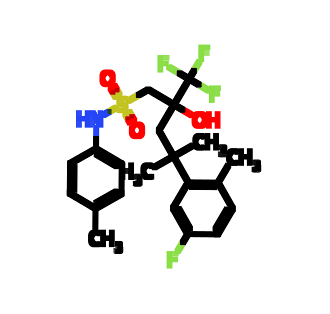 Cc1ccc(NS(=O)(=O)CC(O)(CC(C)(C)c2cc(F)ccc2C)C(F)(F)F)cc1